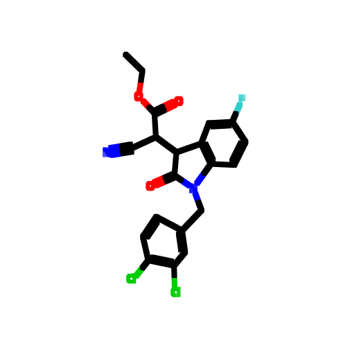 CCOC(=O)C(C#N)C1C(=O)N(Cc2ccc(Cl)c(Cl)c2)c2ccc(F)cc21